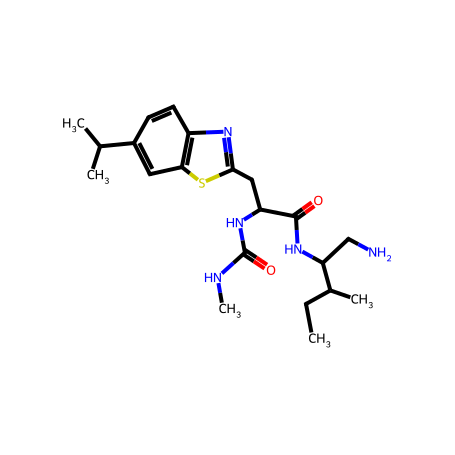 CCC(C)C(CN)NC(=O)C(Cc1nc2ccc(C(C)C)cc2s1)NC(=O)NC